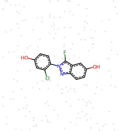 Oc1ccc(-n2nc3ccc(O)cc3c2F)c(Cl)c1